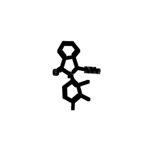 CNC1c2ccccc2C(=O)N1c1ccc(C)c(C)c1C